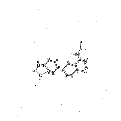 CCNc1ncnc2ccc(-c3ccc4c(c3)OCO4)cc12